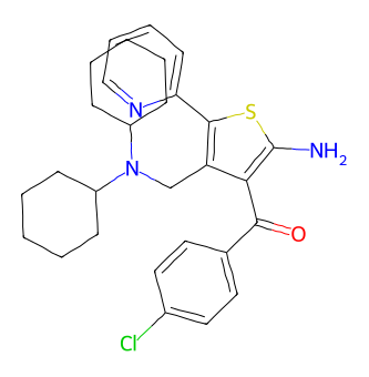 Nc1sc(-c2ccccn2)c(CN(C2CCCCC2)C2CCCCC2)c1C(=O)c1ccc(Cl)cc1